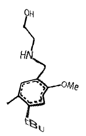 COc1cc(C(C)(C)C)c(C)cc1CNCCO